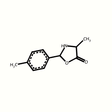 Cc1ccc(C2NC(C)C(=O)O2)cc1